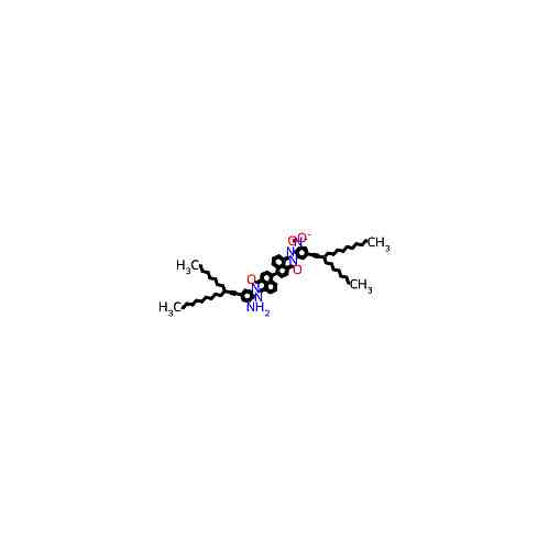 CCCCCCCCCCC(C#Cc1cc(N)c2nc3c4cccc5c(-c6ccc7c(=O)n8c9cc(C#CC(CCCCCCCC)CCCCCCCCCC)cc([N+](=O)[O-])c9nc8c8cccc6c78)ccc(c(=O)n3c2c1)c54)CCCCCCCC